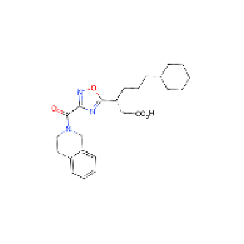 O=C(O)C[C@@H](CCCC1CCCCC1)c1nc(C(=O)N2CCc3ccccc3C2)no1